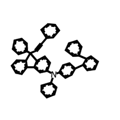 C(#CC1(c2ccccc2)c2ccccc2-c2cc(N(c3ccccc3)c3ccc(-c4ccccc4-c4ccccc4)cc3)ccc21)c1ccccc1